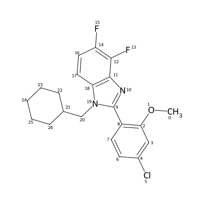 COc1cc(Cl)ccc1-c1nc2c(F)c(F)ccc2n1CC1CCCCC1